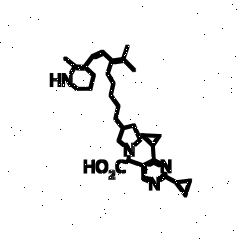 CC(C)=C(/C=C\C1=C(C)NCCC1)CCCCCC1CCN(C(C(=O)O)c2cnc(C3CC3)nc2C2CC2)C1